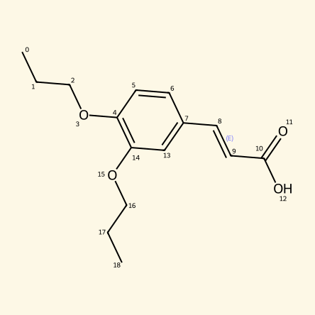 CCCOc1ccc(/C=C/C(=O)O)cc1OCCC